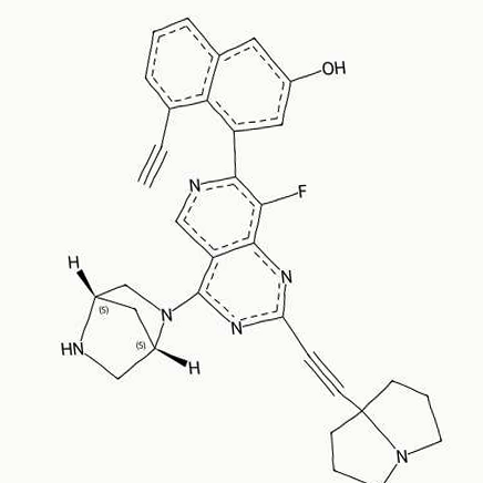 C#Cc1cccc2cc(O)cc(-c3ncc4c(N5C[C@@H]6C[C@H]5CN6)nc(C#CC56CCCN5CCC6)nc4c3F)c12